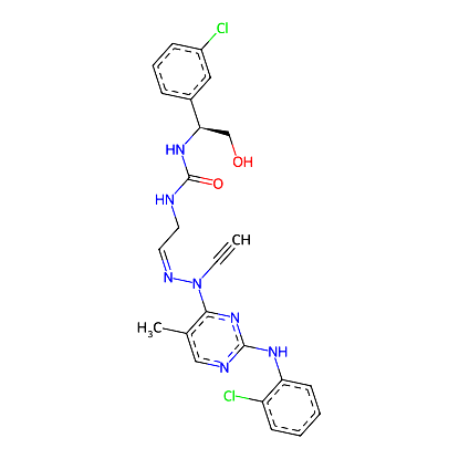 C#CN(/N=C\CNC(=O)N[C@H](CO)c1cccc(Cl)c1)c1nc(Nc2ccccc2Cl)ncc1C